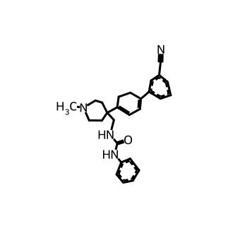 CN1CCC(CNC(=O)Nc2ccccc2)(C2=CC=C(c3cccc(C#N)c3)CC2)CC1